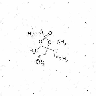 C=CCC(CC)(CC=C)OS(=O)(=O)OC.N